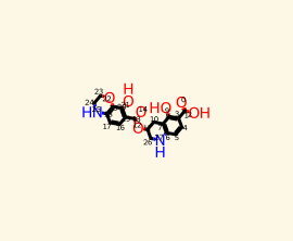 O=C(O)c1ccc2c(c1O)CC(OC(=O)c1ccc3c(c1O)OCCN3)CN2